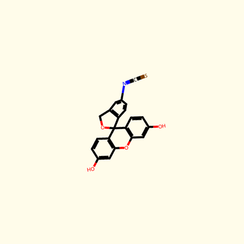 Oc1ccc2c(c1)Oc1cc(O)ccc1C21OCc2cc(N=C=S)ccc21